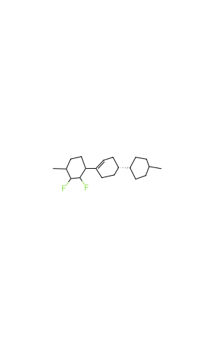 CC1CCC([C@H]2CC=C(C3CCC(C)C(F)C3F)CC2)CC1